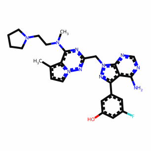 Cc1ccn2nc(Cn3nc(-c4cc(O)cc(F)c4)c4c(N)ncnc43)nc(N(C)CCN3CCCC3)c12